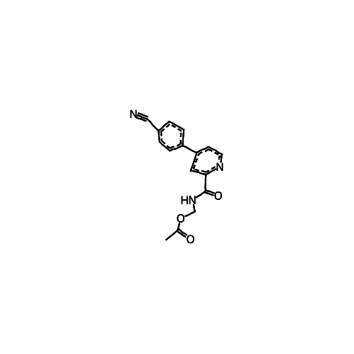 CC(=O)OCNC(=O)c1cc(-c2ccc(C#N)cc2)ccn1